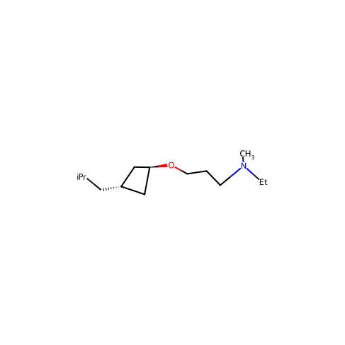 CCN(C)CCCO[C@H]1C[C@H](CC(C)C)C1